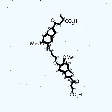 COc1cc2sc(C(=O)C[C@H](C)C(=O)O)cc2cc1NCCCOc1cc2cc(C(=O)CCC(=O)O)sc2cc1OC